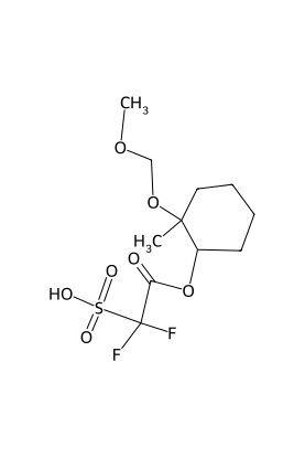 COCOC1(C)CCCCC1OC(=O)C(F)(F)S(=O)(=O)O